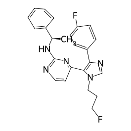 C[C@@H](Nc1nccc(-c2c(-c3ccc(F)cc3)ncn2CCCF)n1)c1ccccc1